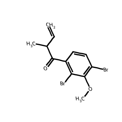 C=CC(C)C(=O)c1ccc(Br)c(OC)c1Br